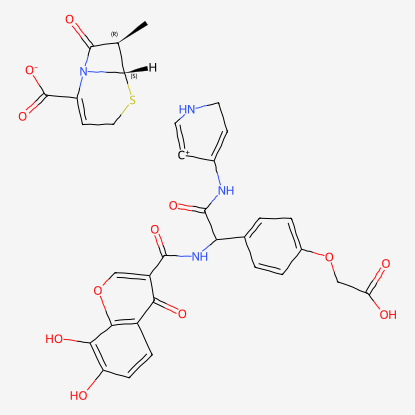 C[C@@H]1C(=O)N2C(C(=O)[O-])=CCS[C@@H]12.O=C(O)COc1ccc(C(NC(=O)c2coc3c(O)c(O)ccc3c2=O)C(=O)NC2=CCNC=[C+]2)cc1